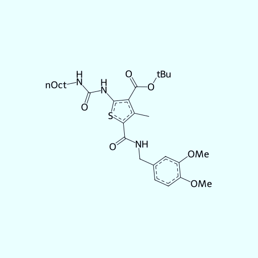 CCCCCCCCNC(=O)Nc1sc(C(=O)NCc2ccc(OC)c(OC)c2)c(C)c1C(=O)OC(C)(C)C